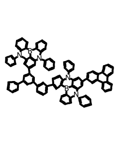 c1ccc(-c2cc(-c3cccc(-c4ccc5c(c4)B4c6ccccc6N(c6ccccc6)c6cc(-c7ccc8c9ccccc9c9ccccc9c8c7)cc(c64)N5c4ccccc4)c3)cc(-c3cc4c5c(c3)N(c3ccccc3)c3ccccc3B5c3ccccc3N4c3ccccc3)c2)cc1